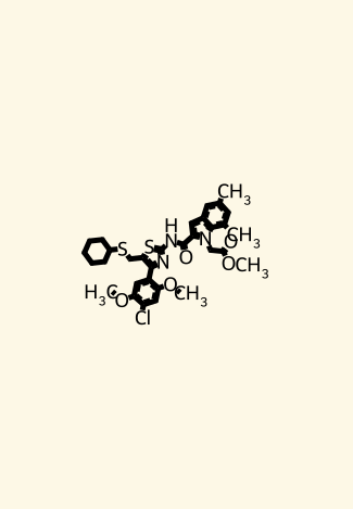 COC(=O)Cn1c(C(=O)Nc2nc(-c3cc(OC)c(Cl)cc3OC)c(CSC3CCCCC3)s2)cc2cc(C)cc(C)c21